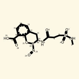 CNS(=O)(=O)CCC(=O)N[C@H]1Cc2cccc(C(=O)O)c2OB1N=O